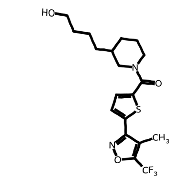 Cc1c(-c2ccc(C(=O)N3CCCC(CCCCO)C3)s2)noc1C(F)(F)F